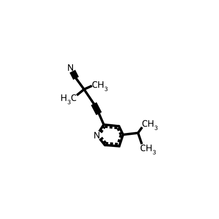 CC(C)c1ccnc(C#CC(C)(C)C#N)c1